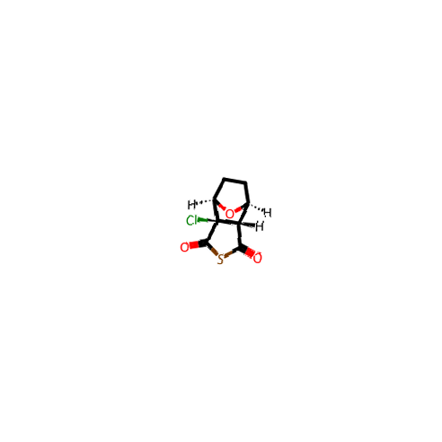 O=C1SC(=O)[C@]2(Cl)[C@H]3CC[C@H](O3)[C@H]12